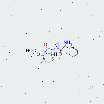 CC1=C(OC(=O)O)N2C(=O)C(NC(=O)C(N)c3ccccc3)[C@@H]2SC1